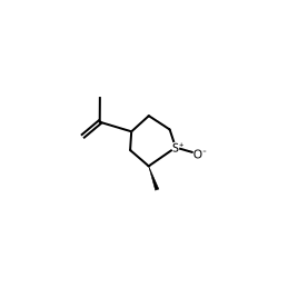 C=C(C)C1CC[S+]([O-])[C@@H](C)C1